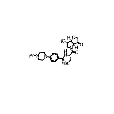 CC(C)N1CCN(c2ccc(C(=O)N[C@@H](CC(C)(C)C)C(=O)N3C[C@H](O)[C@H]4OCC(=O)[C@H]43)cc2)CC1